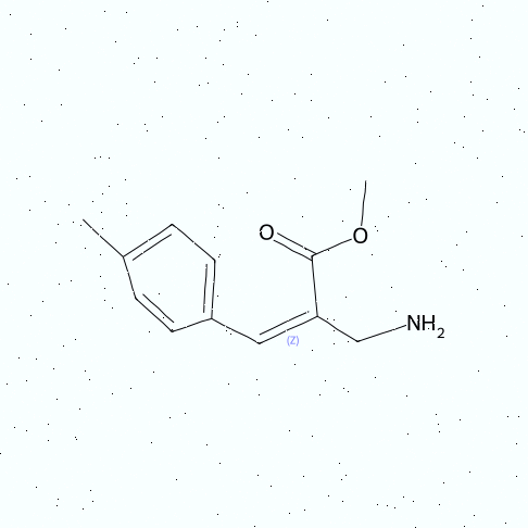 COC(=O)/C(=C\c1ccc(C)cc1)CN